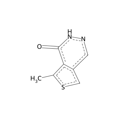 Cc1scc2cn[nH]c(=O)c12